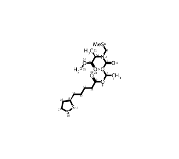 CSCN(C(=O)OC(C)OC(=O)CCCC[C@@H]1CCSS1)[C@H](C)C(=O)OP